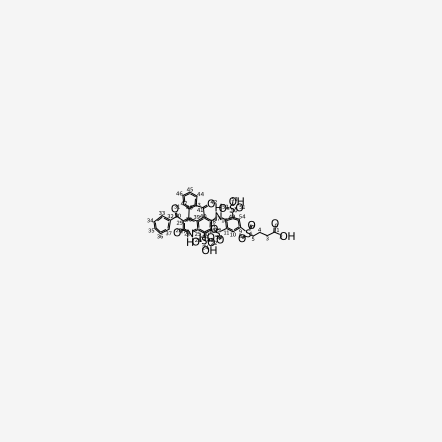 O=C(O)CCCS(=O)(=O)c1cc(S(=O)(=O)O)c(Nc2cc(S(=O)(=O)O)c3[nH]c(=O)c(C(=O)c4ccccc4)c4c3c2C(=O)c2ccccc2-4)c(S(=O)(=O)O)c1